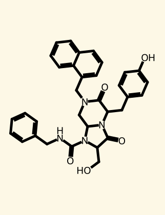 O=C1C(Cc2ccc(O)cc2)N2C(=O)C(CO)N(C(=O)NCc3ccccc3)C2CN1Cc1cccc2ccccc12